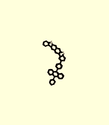 c1ccc(-c2c3ccccc3c(-c3ccc(-c4ccc5sc6cc7cc8sc9ccccc9c8cc7cc6c5c4)cc3)c3ccccc23)cc1